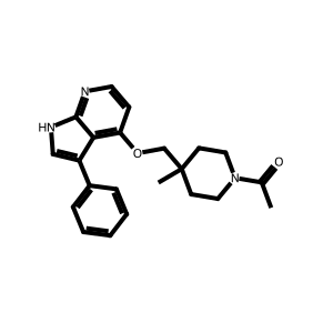 CC(=O)N1CCC(C)(COc2ccnc3[nH]cc(-c4ccccc4)c23)CC1